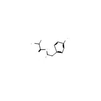 CC(C)C(C)C(=O)N[C@@H](Cc1ccc(O)cc1)C(=O)O